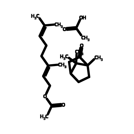 CC(=O)O.CC(=O)OC/C=C(\C)CCC=C(C)C.CC12CCC(CC1=O)C2(C)C